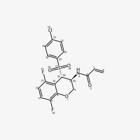 C=CC(=O)N[C@H]1COc2c(F)ccc(F)c2[C@@H]1S(=O)(=O)c1ccc(Cl)cc1